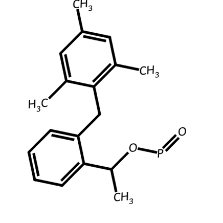 Cc1cc(C)c(Cc2ccccc2C(C)OP=O)c(C)c1